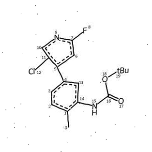 Cc1ccc(-c2cc(F)ncc2Cl)cc1NC(=O)OC(C)(C)C